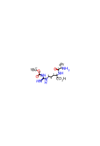 CC(C)[C@H](N)C(=O)N[C@@H](CCCNC(=N)NC(=O)OC(C)(C)C)C(=O)O